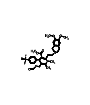 COC(=O)C1=C(CCN2CCc3cc(OC)c(OC)cc3C2)N(C)C(C)=C(COC=O)C1c1ccc(C(F)(F)F)cc1